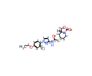 CCOc1ccc(-n2ccc(NC(=O)C[C@H]3CCN4C(=O)OC[C@H]4C3)n2)c(Cl)c1